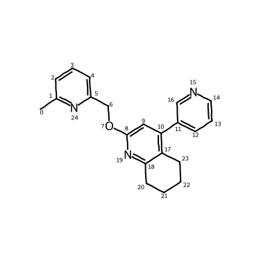 Cc1cccc(COc2cc(-c3cccnc3)c3c(n2)CCCC3)n1